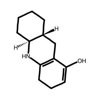 OC1=CCCC2=C1C[C@H]1CCCC[C@@H]1N2